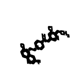 CCc1ncc(CNC2CCN(CCn3c(=O)ccc4ncc(F)cc43)CC2)cc1Cl